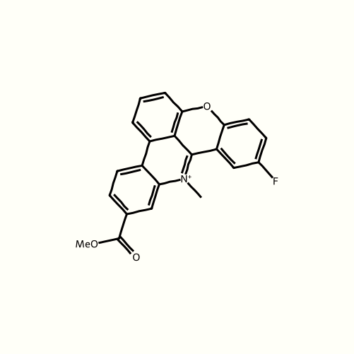 COC(=O)c1ccc2c3cccc4c3c([n+](C)c2c1)-c1cc(F)ccc1O4